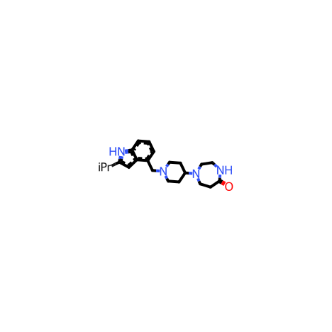 CC(C)c1cc2c(CN3CCC(N4CCNC(=O)CC4)CC3)cccc2[nH]1